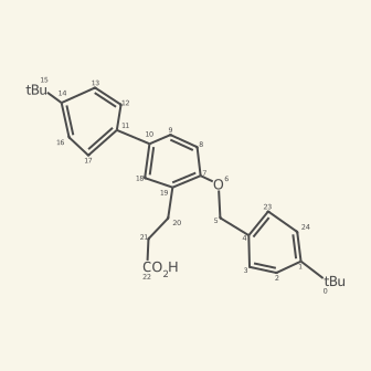 CC(C)(C)c1ccc(COc2ccc(-c3ccc(C(C)(C)C)cc3)cc2CCC(=O)O)cc1